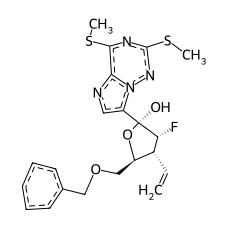 C=C[C@H]1[C@@H](F)[C@](O)(c2cnc3c(SC)nc(SC)nn23)O[C@@H]1COCc1ccccc1